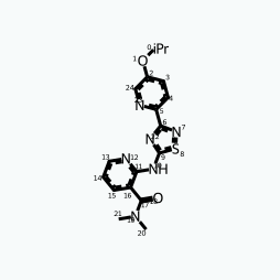 CC(C)Oc1ccc(-c2nsc(Nc3ncccc3C(=O)N(C)C)n2)nc1